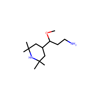 COC(CCN)C1CC(C)(C)NC(C)(C)C1